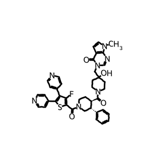 Cn1ccc2c(=O)n(CC3(O)CCN(C(=O)[C@@H]4CCN(C(=O)c5sc(-c6ccncc6)c(-c6ccncc6)c5F)C[C@H]4c4ccccc4)CC3)cnc21